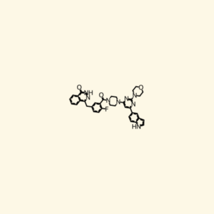 O=C(c1cc(Cc2n[nH]c(=O)c3ccccc23)ccc1F)N1CCN(c2cc(-c3ccc4[nH]ccc4c3)nc(N3CCOCC3)n2)CC1